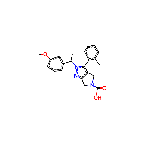 COc1cccc(C(C)n2nc3c(c2-c2ccccc2C)CN(C(=O)O)C3)c1